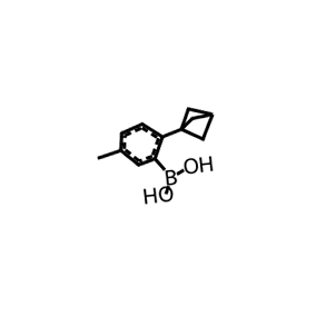 Cc1ccc(C23CC(C2)C3)c(B(O)O)c1